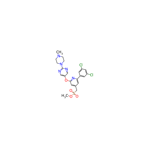 COS(=O)(=O)Cc1cc(Oc2cnc(N3CCN(C)CC3)nc2)nc(-c2cc(Cl)cc(Cl)c2)c1